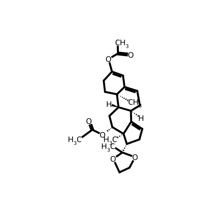 CC(=O)OC1=CC2=CC[C@H]3C4=CC[C@H](C5(C)OCCO5)[C@@]4(C)[C@H](OC(C)=O)C[C@@H]3[C@@]2(C)CC1